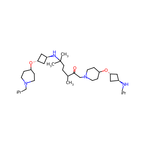 CC(C)CN1CCC(O[C@H]2C[C@H](NC(C)(C)CCC(C)C(=O)CN3CCC(O[C@H]4C[C@H](NC(C)C)C4)CC3)C2)CC1